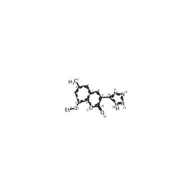 CCOc1cc(C)cc2cc(-c3nnn[nH]3)c(=O)oc12